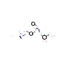 C=C(C)c1cc(O)cc(CNC[C@@H](O)[C@H](Cc2ccccc2)NC(=O)c2cccc(C(=O)N(C)Cc3nc(C)cs3)c2)c1